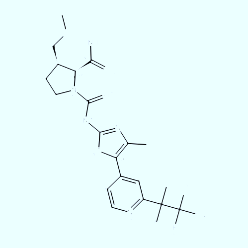 COC[C@@H]1CCN(C(=O)Nc2nc(C)c(-c3ccnc(C(C)(C)C(F)(F)F)c3)s2)[C@@H]1C(N)=O